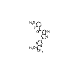 CN(C)c1ncc(-c2cnc3[nH]cc(C(=O)c4cccc(N)c4F)c3c2)cn1